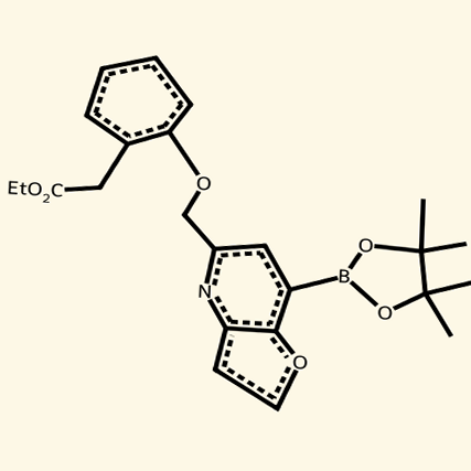 CCOC(=O)Cc1ccccc1OCc1cc(B2OC(C)(C)C(C)(C)O2)c2occc2n1